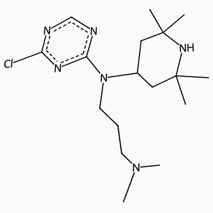 CN(C)CCCN(c1ncnc(Cl)n1)C1CC(C)(C)NC(C)(C)C1